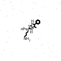 CCCN(CCCCN)C1NN2C(NC(c3ccccc3)C2C)S1